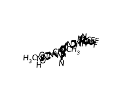 CCNS(=O)(=O)N1CCN([C@@H](C)Cn2c(C#N)cc3c(C)c(CN4CCC(Nc5ncnc6sc(CC(F)(F)F)cc56)CC4)ccc32)CC1